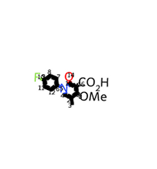 COc1c(C)cn(-c2ccc(F)cc2)c(=O)c1C(=O)O